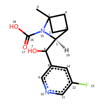 CC12CC(C1)[C@@H](C(O)c1cncc(F)c1)N2C(=O)O